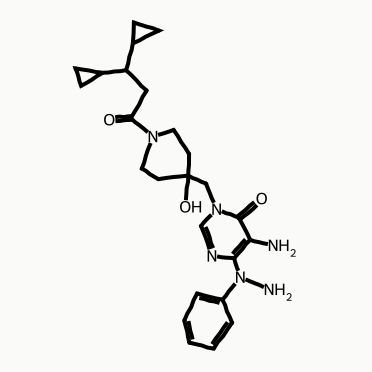 Nc1c(N(N)c2ccccc2)ncn(CC2(O)CCN(C(=O)CC(C3CC3)C3CC3)CC2)c1=O